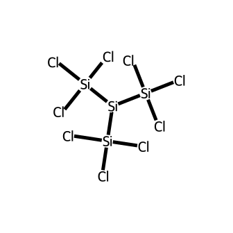 Cl[Si](Cl)(Cl)[Si]([Si](Cl)(Cl)Cl)[Si](Cl)(Cl)Cl